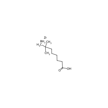 B.CC(C)(C)CCCCCC(=O)O.[Zr]